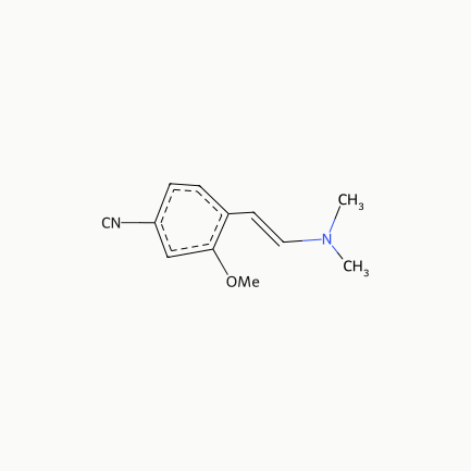 [C-]#[N+]c1ccc(/C=C/N(C)C)c(OC)c1